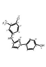 Oc1ccc(-n2ccc(Nc3ccc(Cl)c(C(F)(F)F)c3)n2)cc1